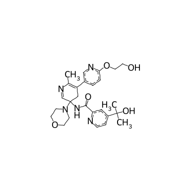 CC1=C(c2ccc(OCCO)nc2)CC(NC(=O)c2cc(C(C)(C)O)ccn2)(N2CCOCC2)C=N1